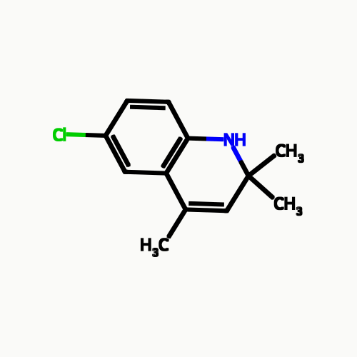 CC1=CC(C)(C)Nc2ccc(Cl)cc21